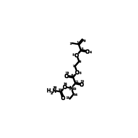 C=C(C)C(=O)OCCOC(=O)C(=O)N(CC)OC(N)=O